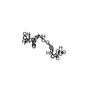 CC1(NCCOCCOCCN2CCN(CNc3cccc4c3CN(C3CCC(=O)NC3=O)C4=O)CC2)CN(c2cc3c(F)c(-c4cc(O)ccc4C(F)(F)F)ncc3c(N3CC4CCC(C3)N4)n2)C1